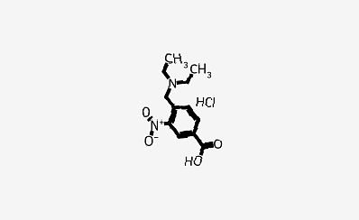 CCN(CC)Cc1ccc(C(=O)O)cc1[N+](=O)[O-].Cl